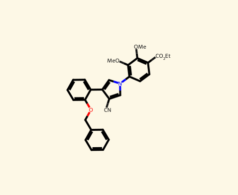 CCOC(=O)c1ccc(-n2cc(C#N)c(-c3ccccc3OCc3ccccc3)c2)c(OC)c1OC